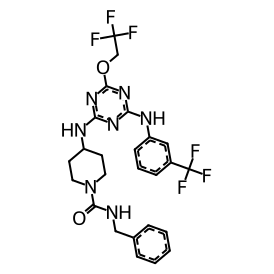 O=C(NCc1ccccc1)N1CCC(Nc2nc(Nc3cccc(C(F)(F)F)c3)nc(OCC(F)(F)F)n2)CC1